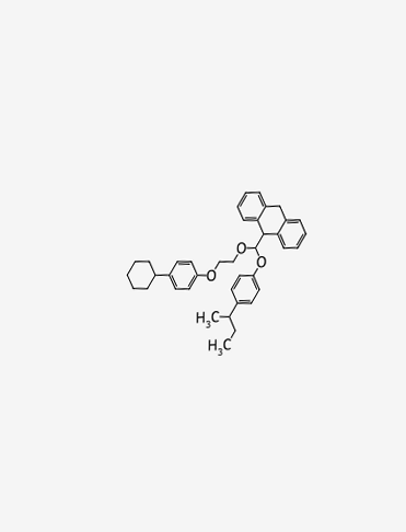 CCC(C)c1ccc(OC(OCCOc2ccc(C3CCCCC3)cc2)C2c3ccccc3Cc3ccccc32)cc1